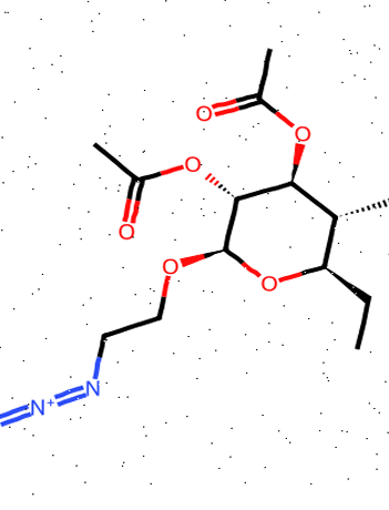 CC[C@H]1O[C@@H](OCCN=[N+]=[N-])[C@H](OC(C)=O)[C@@H](OC(C)=O)[C@@H]1C